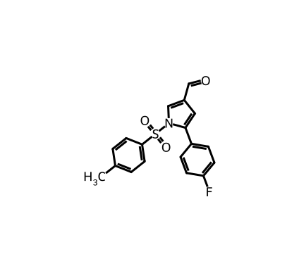 Cc1ccc(S(=O)(=O)n2cc(C=O)cc2-c2ccc(F)cc2)cc1